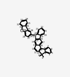 CC1(C)c2ccccc2-c2c1ccc1cc3c(cc21)c1ccccc1n3-c1ccc2oc3ccccc3c2c1